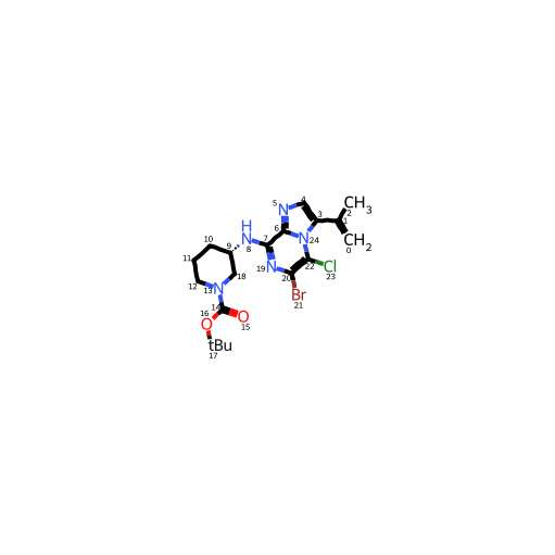 C=C(C)c1cnc2c(N[C@H]3CCCN(C(=O)OC(C)(C)C)C3)nc(Br)c(Cl)n12